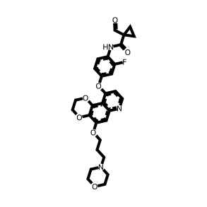 O=CC1(C(=O)Nc2ccc(Oc3ccnc4cc(OCCCN5CCOCC5)c5c(c34)OCCO5)cc2F)CC1